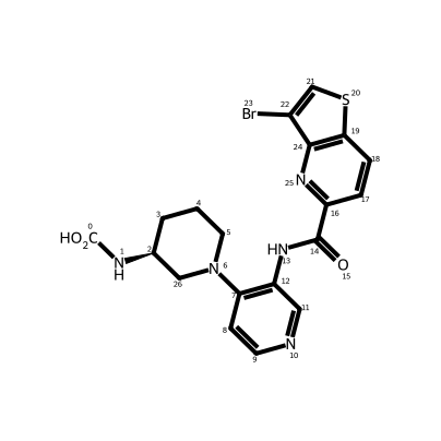 O=C(O)N[C@H]1CCCN(c2ccncc2NC(=O)c2ccc3scc(Br)c3n2)C1